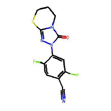 N#Cc1cc(F)c(-n2nc3n(c2=O)CCCS3)cc1F